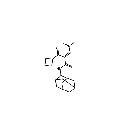 CN(C)C=C(C(=O)NC1C2CC3CC(C2)CC1C3)C(=O)C1CCC1